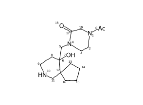 CC(=O)N1CCN(CC2(O)CCNCC23CCCC3)C(=O)C1